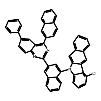 Clc1cccc2c1c1cc3ccccc3cc1n2-c1cc(-c2nc(-c3ccc4ccccc4c3)c3cc(-c4ccccc4)ccc3n2)cc2ccccc12